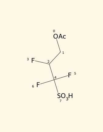 CC(=O)OCC(F)C(F)(F)S(=O)(=O)O